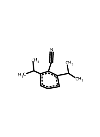 C[C](C)c1cccc(C(C)C)c1C#N